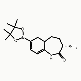 CC1(C)OB(C2=CC=C3NC(=O)[C@@H](N)CCC3C2)OC1(C)C